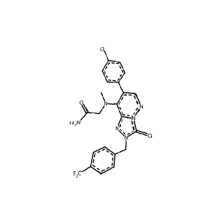 CN(CC(N)=O)c1c(-c2ccc(Cl)cc2)cnn2c(=O)n(Cc3ccc(C(F)(F)F)cc3)nc12